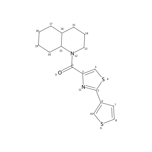 O=C(c1csc(-c2ccsc2)n1)N1CCCC2CCCCC21